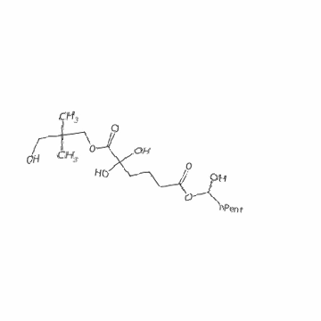 CCCCCC(O)OC(=O)CCCC(O)(O)C(=O)OCC(C)(C)CO